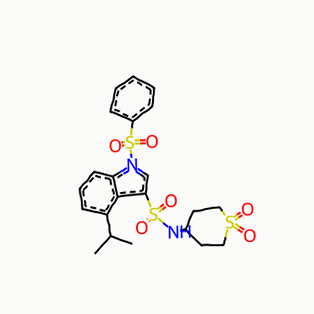 CC(C)c1cccc2c1c(S(=O)(=O)NC1CCS(=O)(=O)CC1)cn2S(=O)(=O)c1ccccc1